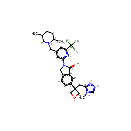 CC1CCC(C)N(Cc2cc(N3Cc4ccc(C5(Cc6nncn6C)COC5)cc4C3=O)nc(C(F)(F)F)c2)C1